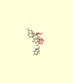 CC12CCC(=O)C=C1CCC1C2[C@@H](O)CC2(C)C1CC[C@]2(O)C(=O)CSc1nc2ccccc2s1